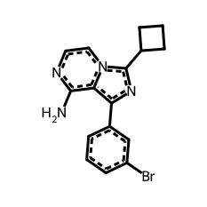 Nc1nccn2c(C3CCC3)nc(-c3cccc(Br)c3)c12